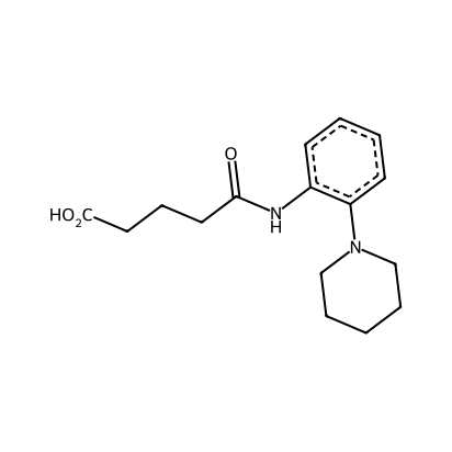 O=C(O)CCCC(=O)Nc1ccccc1N1CCCCC1